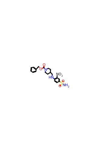 NS(=O)(=O)c1ccc(NCC2CCN(C(=O)OCc3ccccc3)CC2)c([N+](=O)[O-])c1